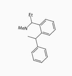 CCC(NC)c1ccccc1C(C)c1ccccc1